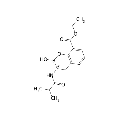 CCOC(=O)c1cccc2c1OB(O)[C@@H](NC(=O)C(C)C)C2